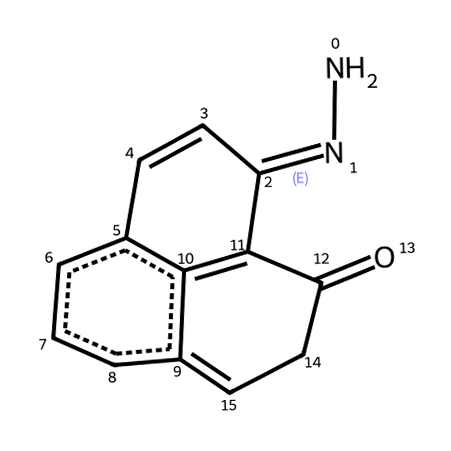 N/N=C1\C=Cc2cccc3c2=C1C(=O)CC=3